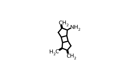 C=C1CC2C(C1=C)C1CC(=C)C(N)C21